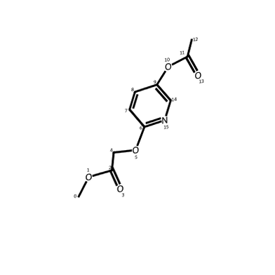 COC(=O)COc1ccc(OC(C)=O)cn1